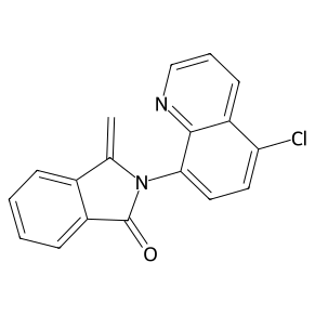 C=C1c2ccccc2C(=O)N1c1ccc(Cl)c2cccnc12